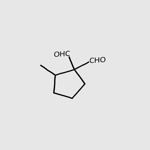 CC1CCCC1(C=O)C=O